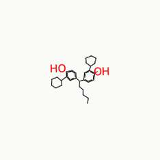 CCCCCC(c1ccc(O)c(C2CCCCC2)c1)c1ccc(O)c(C2CCCCC2)c1